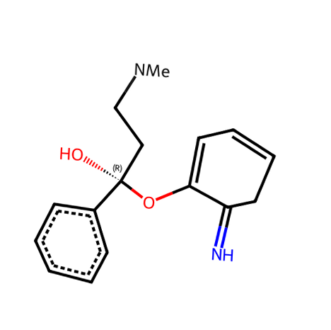 CNCC[C@@](O)(OC1=CC=CCC1=N)c1ccccc1